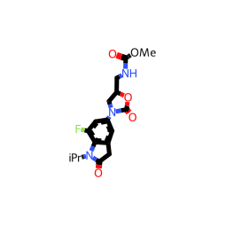 COC(=O)NCC1CN(c2cc(F)c3c(c2)CC(=O)N3C(C)C)C(=O)O1